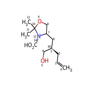 C=CC[C@@H](CO)CC1COC(C)(C)N1C(=O)O